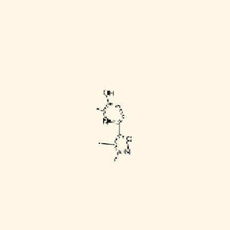 [CH2]c1c(C)noc1-c1ccc(O)c(C)n1